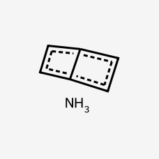 N.c1cc2ccc1-2